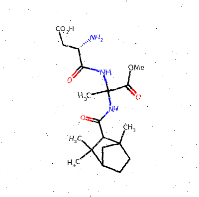 COC(=O)C(C)(NC(=O)C1C2(C)CCC(C2)C1(C)C)NC(=O)[C@@H](N)CC(=O)O